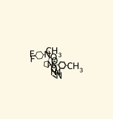 Cc1ccc(S(=O)(=O)N2CCC[C@H]2C(=O)N(C)C2CCC(F)(F)CC2)c(-n2nccn2)c1